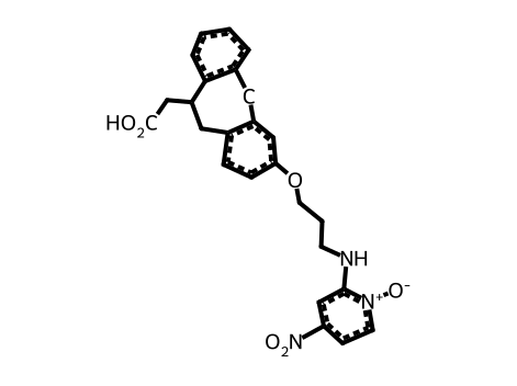 O=C(O)CC1Cc2ccc(OCCCNc3cc([N+](=O)[O-])cc[n+]3[O-])cc2Cc2ccccc21